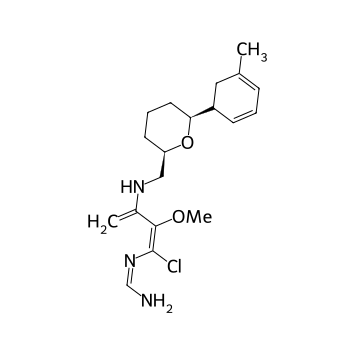 C=C(NC[C@H]1CCC[C@@H](C2C=CC=C(C)C2)O1)/C(OC)=C(Cl)\N=C/N